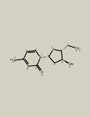 CC[C@H]1S[C@@H](n2ccc(N)nc2=O)C[C@@H]1O